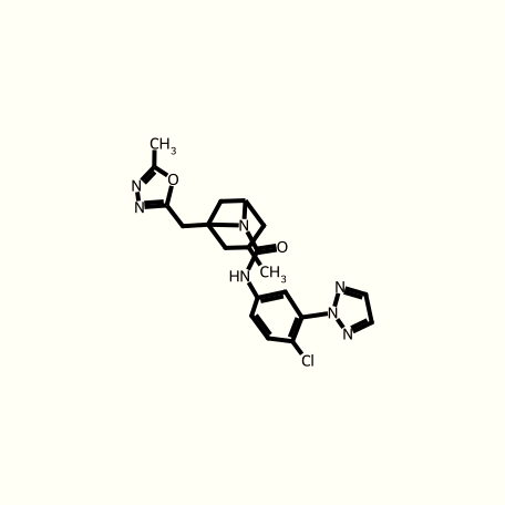 Cc1nnc(CC23CC(C)CC(C2)N3C(=O)Nc2ccc(Cl)c(-n3nccn3)c2)o1